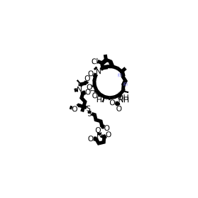 COCC(C)(CCC(=O)N(C)[C@@H](C)C(=O)O[C@H]1CC(=O)N(C)c2cc(cc(C)c2Cl)C/C(C)=C/C=C/[C@@H](C)[C@@]2(O)CC(OC(=O)N2)[C@@H](C)[C@@H]2O[C@@]12C)SSCCCC(=O)ON1C(=O)CCC1=O